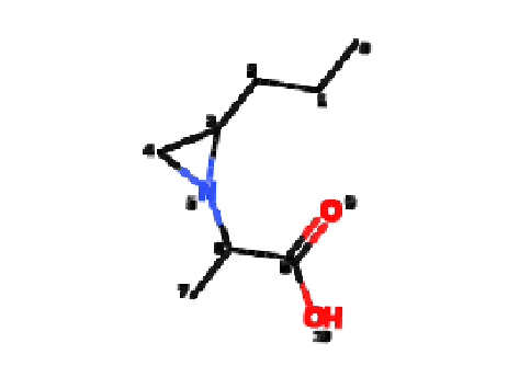 CCCC1CN1C(C)C(=O)O